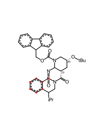 CC(C)C(CN(Cc1ccccc1)C(=O)[C@H]1C[C@@H](OC(C)(C)C)CN(C(=O)OCC2c3ccccc3-c3ccccc32)C1N=C=O)c1ccccc1